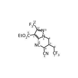 CCOC(=O)c1cn(CC(CC(F)(F)F)C(C#N)C#N)nc1C(F)(F)F